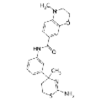 CN1CCOc2cc(C(=O)Nc3cccc(C4(C)CCSC(N)=N4)c3)ccc21